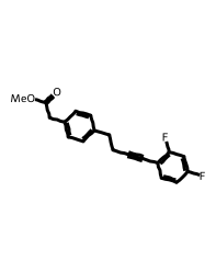 COC(=O)Cc1ccc(CCC#Cc2ccc(F)cc2F)cc1